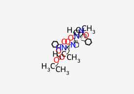 CC(C)COC(=O)COc1ccccc1C(=O)N[C@H](CC(C)C)C(=O)N1CCC[C@@H]1C(=O)N(C)[C@@H](Cc1ccccc1)C(=O)N(C)C